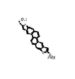 CCCCCCCCSc1cc2cc3c(ccc4c5cc6cc(SCCCCCCCC)sc6cc5ccc34)cc2s1